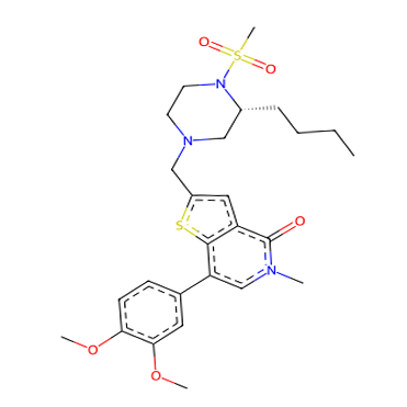 CCCC[C@@H]1CN(Cc2cc3c(=O)n(C)cc(-c4ccc(OC)c(OC)c4)c3s2)CCN1S(C)(=O)=O